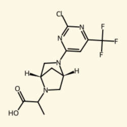 CC(C(=O)O)N1C[C@@H]2C[C@H]1CN2c1cc(C(F)(F)F)nc(Cl)n1